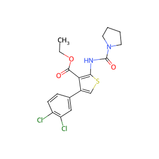 CCOC(=O)c1c(-c2ccc(Cl)c(Cl)c2)csc1NC(=O)N1CCCC1